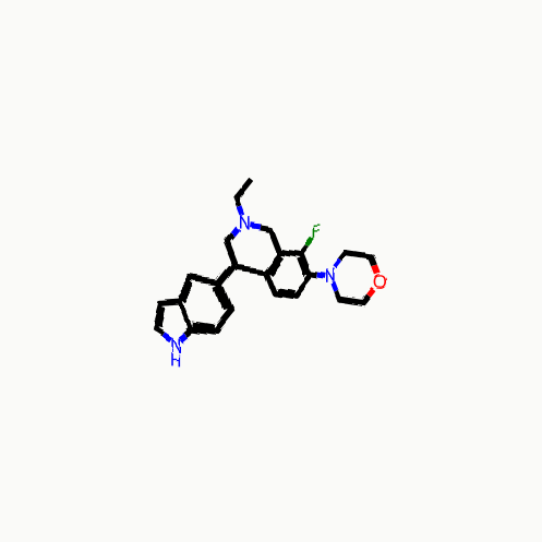 CCN1Cc2c(ccc(N3CCOCC3)c2F)C(c2ccc3[nH]ccc3c2)C1